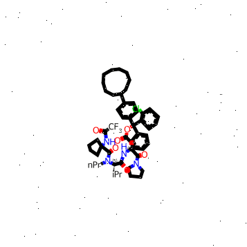 CCCN(C(=O)C1(NC(=O)C(F)(F)F)CCCC1)[C@H](C(=O)N[C@@H](CC(=O)OC(c1ccccc1)(c1ccc(C2CCCCCCCCC2)cc1)c1ccccc1Cl)C(=O)N1CCCC1)C(C)C